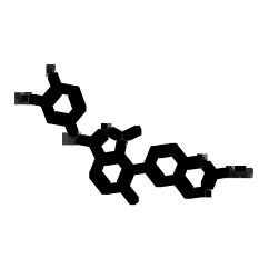 CNc1ncc2cc(-c3c(C)ccc4c(Nc5ccc(F)c(C#N)c5)nn(C)c34)ccc2n1